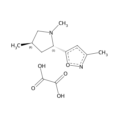 Cc1cc([C@@H]2C[C@@H](C)CN2C)on1.O=C(O)C(=O)O